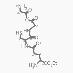 CCOC(=O)C(N)CCC(=O)NC(CS)C(=O)NCC(=O)OC(=O)CN